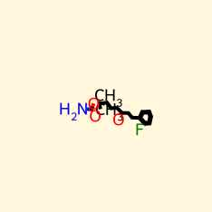 CC(C)(CCCC(=O)CCc1ccccc1F)OC(N)=O